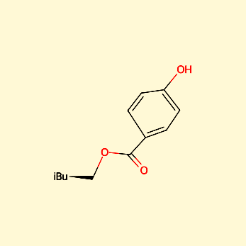 CC[C@H](C)COC(=O)c1ccc(O)cc1